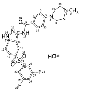 CN1CCN(c2ccc(C(=O)Nc3n[nH]c4ccc(S(=O)(=O)c5cc(F)cc(F)c5)cc34)cc2)CC1.Cl